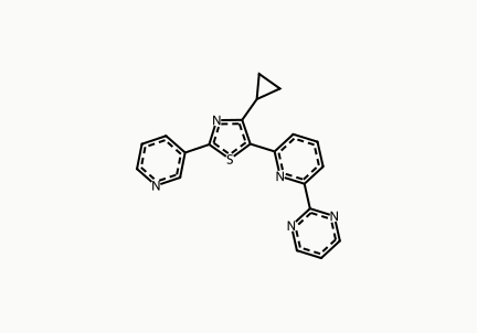 c1cnc(-c2cccc(-c3sc(-c4cccnc4)nc3C3CC3)n2)nc1